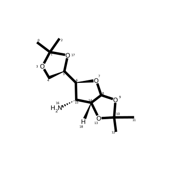 CC1(C)OC[C@H]([C@H]2OC3OC(C)(C)O[C@@H]3[C@@H]2N)O1